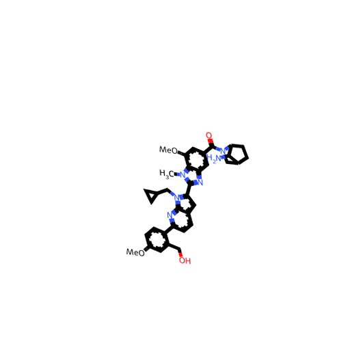 COc1ccc(-c2ccc3cc(-c4nc5cc(C(=O)N6CC7CCC6C7N)cc(OC)c5n4C)n(CC4CC4)c3n2)c(CO)c1